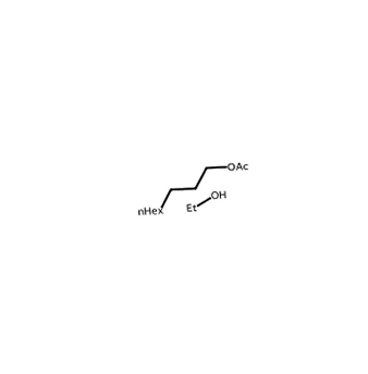 CCCCCCCCCOC(C)=O.CCO